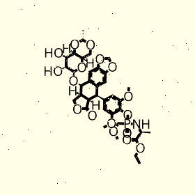 CCOC(=O)[C@H](C)NP(=O)(COC)Oc1c(OC)cc([C@@H]2c3cc4c(cc3[C@@H](O[C@@H]3O[C@@H]5CO[C@@H](C)O[C@H]5[C@H](O)[C@H]3O)[C@H]3COC(=O)[C@H]23)OCO4)cc1OC